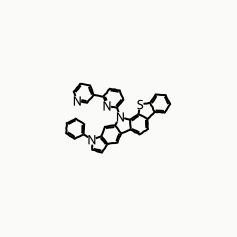 c1ccc(-n2ccc3cc4c5ccc6c7ccccc7sc6c5n(-c5cccc(-c6cccnc6)n5)c4cc32)cc1